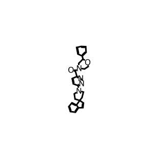 O=C(c1ccc(N2CCC3(C=Cc4ccccc43)CC2)nn1)N1CCOC(c2ccccc2)C1